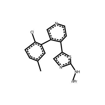 CCCNc1ncc(-c2ccncc2-c2cc(C)ccc2Cl)s1